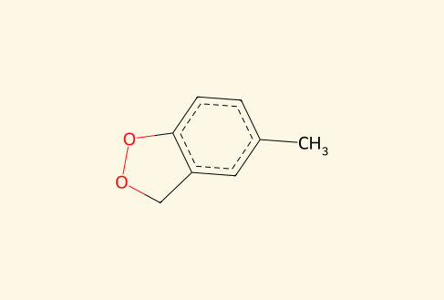 Cc1ccc2c(c1)COO2